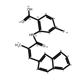 CC(=Cc1ccc2ccccc2c1)C(=O)Nc1cc(F)ccc1C(=O)O